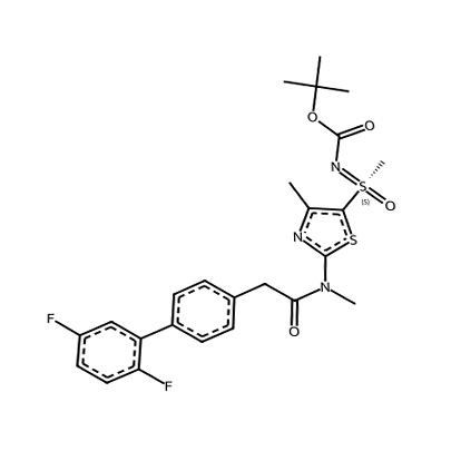 Cc1nc(N(C)C(=O)Cc2ccc(-c3cc(F)ccc3F)cc2)sc1[S@](C)(=O)=NC(=O)OC(C)(C)C